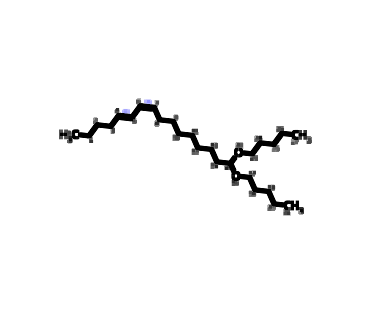 CCCC/C=C/C=C\CCCCCCCC(OCCCCC)OCCCCC